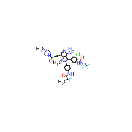 C=C(F)C(=O)Nc1ccc(-c2c(-c3ccc(C(=O)NCC(F)(F)F)c(Cl)c3)c3c(N)ncc(C#CC(=O)N4CCN(C)CC4)c3n2C)cc1